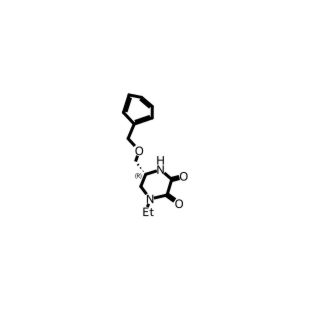 CCN1C[C@H](COCc2ccccc2)NC(=O)C1=O